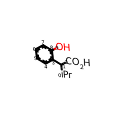 CC(C)C(C(=O)O)c1ccccc1O